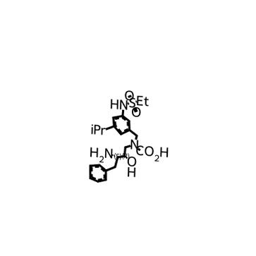 CCS(=O)(=O)Nc1cc(CN(C[C@@H](O)[C@@H](N)Cc2ccccc2)C(=O)O)cc(C(C)C)c1